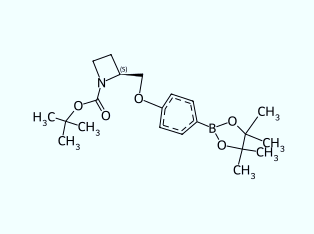 CC(C)(C)OC(=O)N1CC[C@H]1COc1ccc(B2OC(C)(C)C(C)(C)O2)cc1